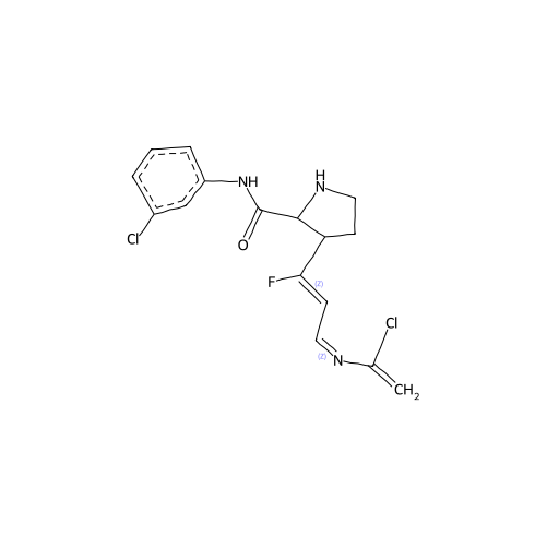 C=C(Cl)/N=C\C=C(/F)C1CCNC1C(=O)Nc1cccc(Cl)c1